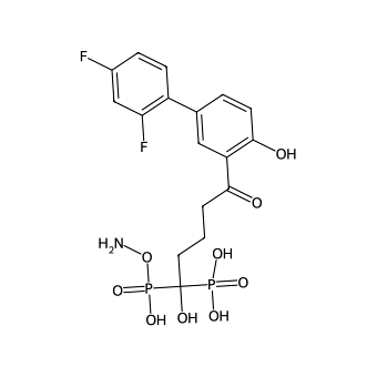 NOP(=O)(O)C(O)(CCCC(=O)c1cc(-c2ccc(F)cc2F)ccc1O)P(=O)(O)O